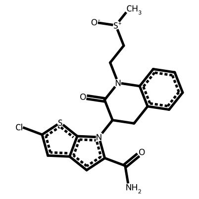 C[S+]([O-])CCN1C(=O)C(n2c(C(N)=O)cc3cc(Cl)sc32)Cc2ccccc21